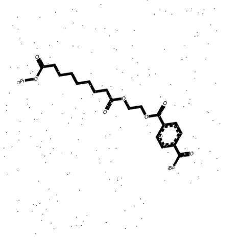 CCCOC(=O)CCCCCCCC(=O)OCCOC(=O)c1ccc(C(=O)C(C)CC)cc1